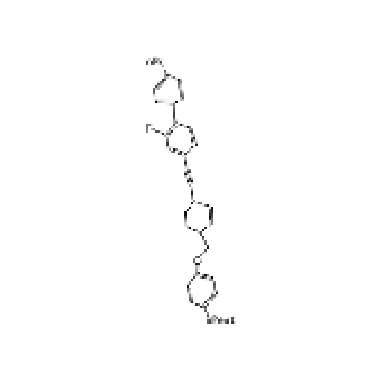 CCCCCc1ccc(OCC2C=CC(C#Cc3ccc(-c4ccc(CCC)cc4)c(F)c3)CC2)cc1